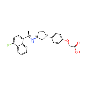 C[C@@H](N[C@H]1CC[C@H](c2ccc(OCC(=O)O)cc2)C1)c1ccc(F)c2ccccc12